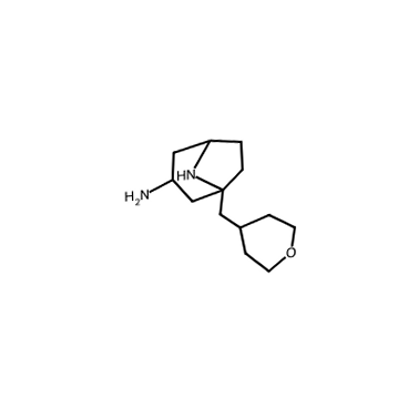 NC1CC2CCC(CC3CCOCC3)(C1)N2